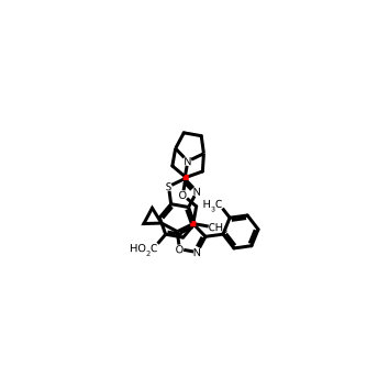 Cc1ccccc1-c1noc(C2CC2)c1COC1CC2CCC(C1)N2c1nc2c(C)cc(C(=O)O)cc2s1